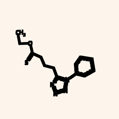 CCOC(=S)CCCc1nnnn1-c1ccccc1